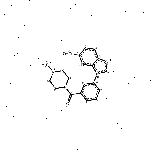 CN1CCN(C(=O)c2cccc(-n3cnc4ccc(C=O)nc43)c2)CC1